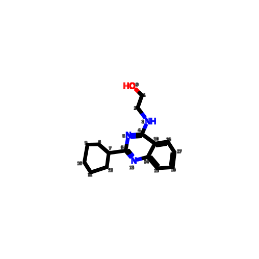 OCCNc1nc(C2CCCCC2)nc2ccccc12